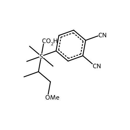 COCC(C)S(C)(C)(C)(C(=O)O)c1ccc(C#N)c(C#N)c1